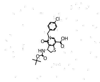 CC(C)(C)OC(=O)N[C@H]1CSc2c(C(=O)O)cn(Cc3ccc(Cl)cc3)c(=O)c21